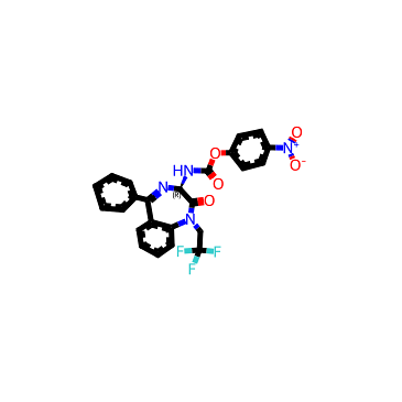 O=C(N[C@@H]1N=C(c2ccccc2)c2ccccc2N(CC(F)(F)F)C1=O)Oc1ccc([N+](=O)[O-])cc1